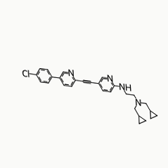 Clc1ccc(-c2ccc(C#Cc3ccc(NCCN(CC4CC4)CC4CC4)nc3)nc2)cc1